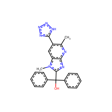 Cc1nc2nc(C(O)(c3ccccc3)c3ccccc3)n(C)c2cc1-c1nnn[nH]1